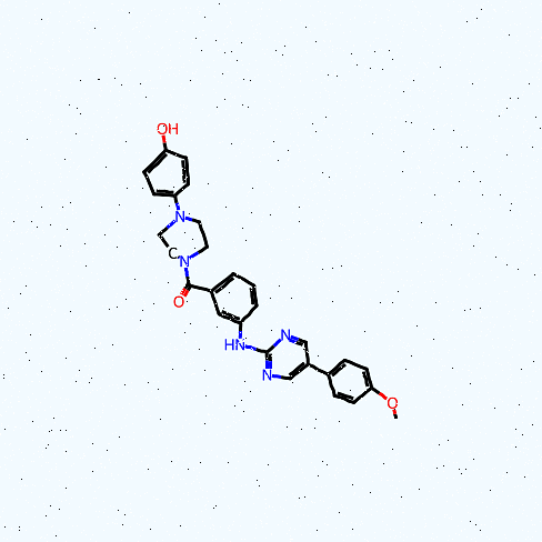 COc1ccc(-c2cnc(Nc3cccc(C(=O)N4CCN(c5ccc(O)cc5)CC4)c3)nc2)cc1